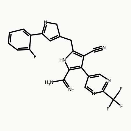 N#Cc1c(CC2=CC(c3ccccc3F)=NC2)[nH]c(C(=N)N)c1-c1cnc(C(F)(F)F)nc1